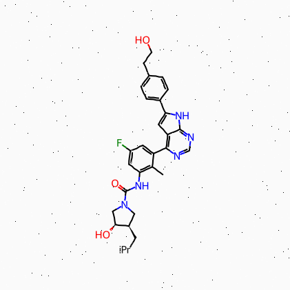 Cc1c(NC(=O)N2C[C@@H](CC(C)C)[C@@H](O)C2)cc(F)cc1-c1ncnc2[nH]c(-c3ccc(CCO)cc3)cc12